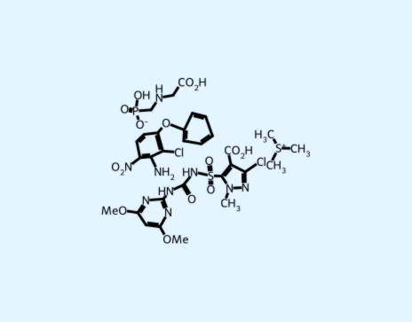 COc1cc(OC)nc(NC(=O)NS(=O)(=O)c2c(C(=O)O)c(Cl)nn2C)n1.C[S+](C)C.Nc1c([N+](=O)[O-])ccc(Oc2ccccc2)c1Cl.O=C(O)CNCP(=O)([O-])O